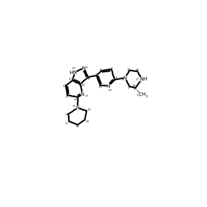 C[C@@H]1CN(c2ccc(-c3n[nH]c4ccc(N5CCCCC5)nc34)cn2)CCN1